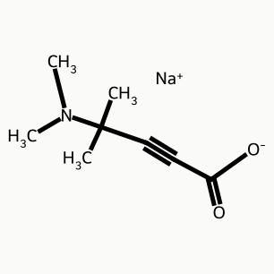 CN(C)C(C)(C)C#CC(=O)[O-].[Na+]